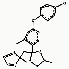 Cc1cc(Oc2ccc(Cl)cc2)ccc1C1(CC2(C)N=CC=N2)OCC(C)O1